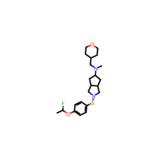 CC(F)Oc1ccc(SN2CC3CC(N(C)CC4CCOCC4)CC3C2)cc1